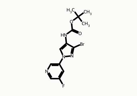 CC(C)(C)OC(=O)Nc1cn(-c2cncc(F)c2)nc1Br